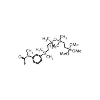 CO[Si](CC[Si](C)(C)O[Si](C)(C)CC[Si](C)(C)c1cccc(N(C)C(=O)F)c1)(OC)OC